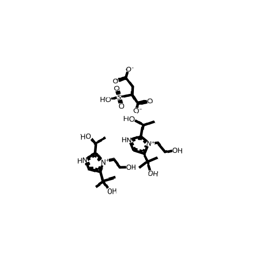 CC(O)c1[nH]cc(C(C)(C)O)[n+]1CCO.CC(O)c1[nH]cc(C(C)(C)O)[n+]1CCO.O=C([O-])CC(C(=O)[O-])S(=O)(=O)O